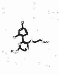 COCCOc1ncc(C(=O)O)nc1-c1ccc(Cl)cc1Cl